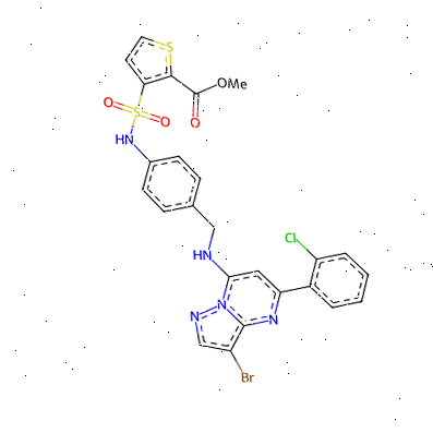 COC(=O)c1sccc1S(=O)(=O)Nc1ccc(CNc2cc(-c3ccccc3Cl)nc3c(Br)cnn23)cc1